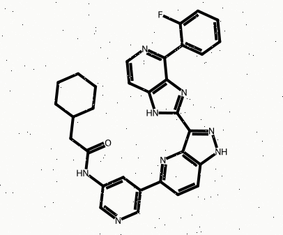 O=C(CC1CCCCC1)Nc1cncc(-c2ccc3[nH]nc(-c4nc5c(-c6ccccc6F)nccc5[nH]4)c3n2)c1